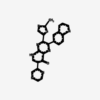 Cc1ncc(-c2nc3[nH]cc(-c4cnccn4)c(=O)c3nc2-c2ccc3ncccc3c2)s1